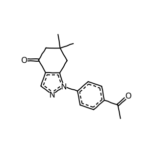 CC(=O)c1ccc(-n2ncc3c2CC(C)(C)CC3=O)cc1